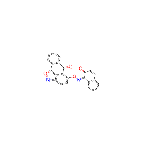 O=C1C=Cc2ccccc2C1=NOc1ccc2noc3c2c1C(=O)c1ccccc1-3